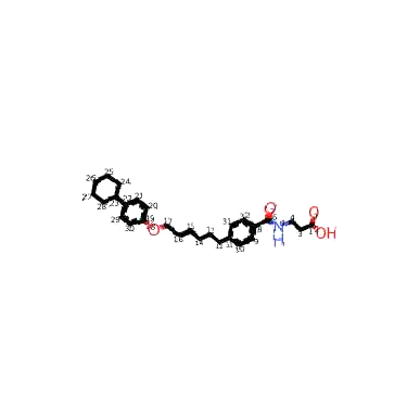 O=C(O)CCNC(=O)c1ccc(CCCCCCOc2ccc(C3CCCCC3)cc2)cc1